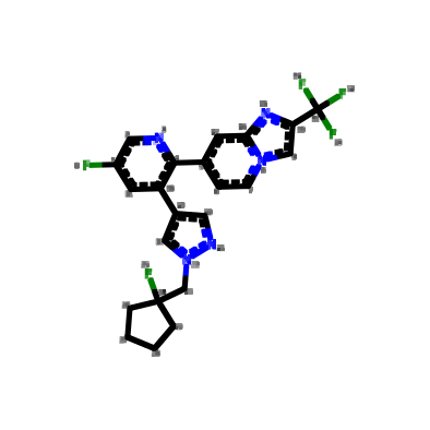 Fc1cnc(-c2ccn3cc(C(F)(F)F)nc3c2)c(-c2cnn(CC3(F)CCCC3)c2)c1